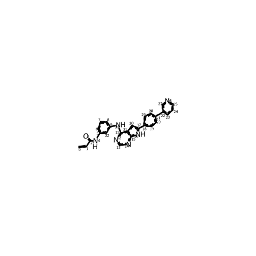 C=CC(=O)Nc1cccc(Nc2ncnc3[nH]c(-c4ccc(-c5cccnc5)cc4)cc23)c1